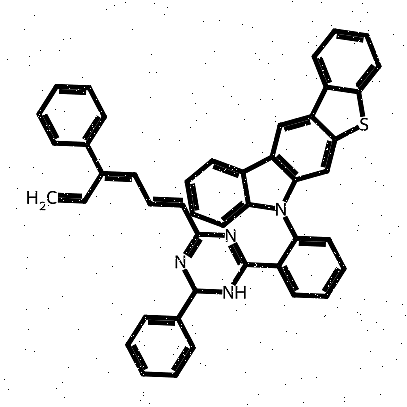 C=C/C(=C\C=C\C1=NC(c2ccccc2)NC(c2ccccc2-n2c3ccccc3c3cc4c(cc32)sc2ccccc24)=N1)c1ccccc1